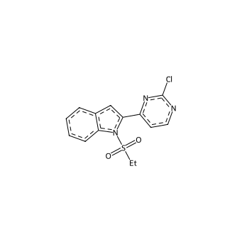 CCS(=O)(=O)n1c(-c2ccnc(Cl)n2)cc2ccccc21